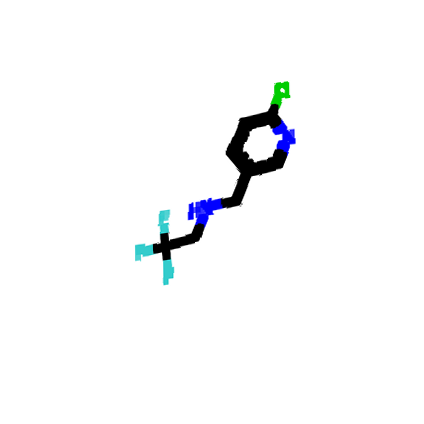 FC(F)(F)CNCc1ccc(Cl)nc1